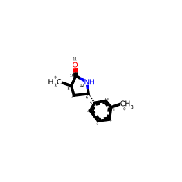 Cc1cccc([C@@H]2CC(C)C(=O)N2)c1